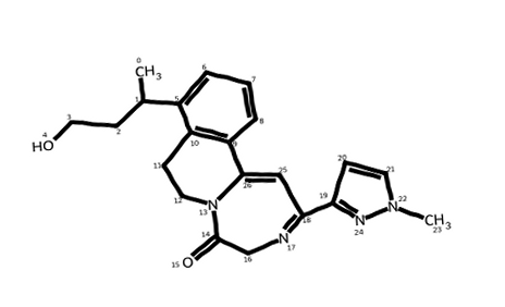 CC(CCO)c1cccc2c1CCN1C(=O)CN=C(c3ccn(C)n3)C=C21